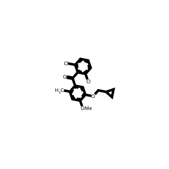 COc1cc(C)c(C(=O)c2c(Cl)cccc2Cl)cc1OCC1CC1